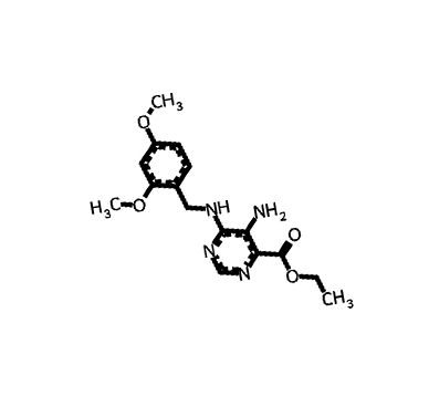 CCOC(=O)c1ncnc(NCc2ccc(OC)cc2OC)c1N